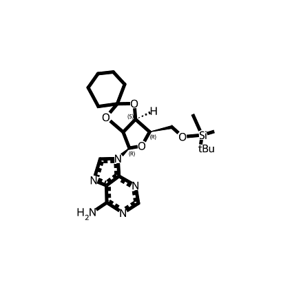 CC(C)(C)[Si](C)(C)OC[C@H]1O[C@@H](n2cnc3c(N)ncnc32)C2OC3(CCCCC3)O[C@H]21